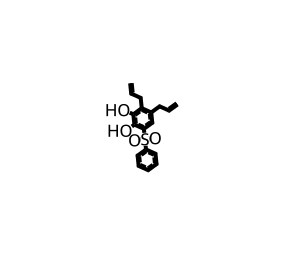 C=CCc1cc(S(=O)(=O)c2ccccc2)c(O)c(O)c1CC=C